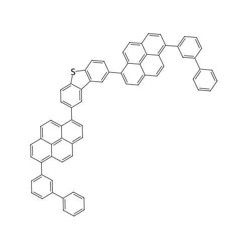 c1ccc(-c2cccc(-c3ccc4ccc5c(-c6ccc7sc8ccc(-c9ccc%10ccc%11c(-c%12cccc(-c%13ccccc%13)c%12)ccc%12ccc9c%10c%12%11)cc8c7c6)ccc6ccc3c4c65)c2)cc1